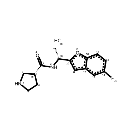 C[C@@H](NC(=O)[C@@H]1CCNC1)c1cc2cc(F)ccc2o1.Cl